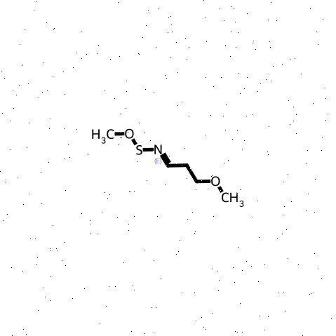 COCC/C=N/SOC